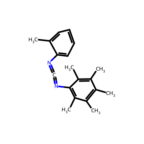 Cc1ccccc1N=C=Nc1c(C)c(C)c(C)c(C)c1C